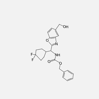 O=C(NC(c1nc2cc(CO)ccc2o1)C1CCC(F)(F)CC1)OCc1ccccc1